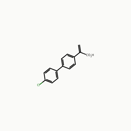 C=C(C(=O)O)c1ccc(-c2ccc(Cl)cc2)cc1